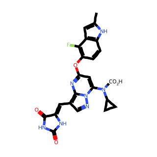 Cc1cc2c(F)c(Oc3cc(N(C(=O)O)C4CC4)n4ncc(C=C5NC(=O)NC5=O)c4n3)ccc2[nH]1